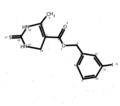 CC1=C(C(=O)OCc2cccc(I)c2)CNC(=S)N1